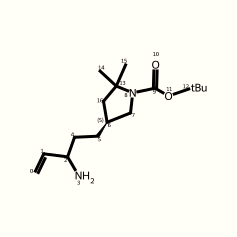 C=CC(N)CC[C@@H]1CN(C(=O)OC(C)(C)C)C(C)(C)C1